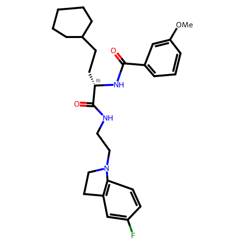 COc1cccc(C(=O)N[C@@H](CCC2CCCCC2)C(=O)NCCN2CCc3cc(F)ccc32)c1